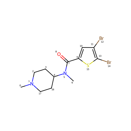 CN1CCC(N(C)C(=O)c2cc(Br)c(Br)s2)CC1